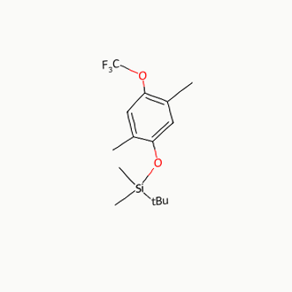 Cc1cc(O[Si](C)(C)C(C)(C)C)c(C)cc1OC(F)(F)F